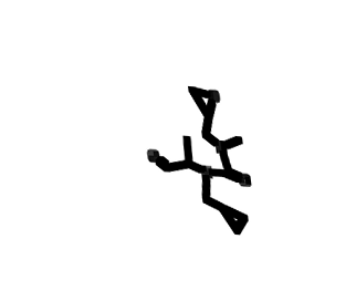 CC(C=O)N(CC1CC1)C(=O)N(C)CC1CO1